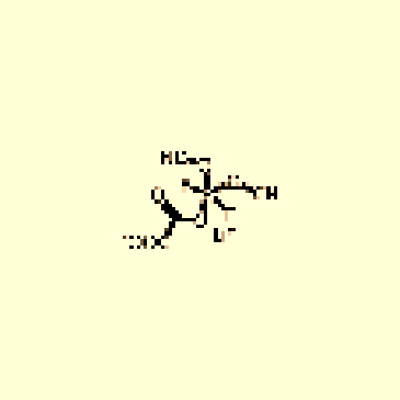 N#COP(F)(F)(OC#N)OC(=O)C(=O)[O-].[Li+]